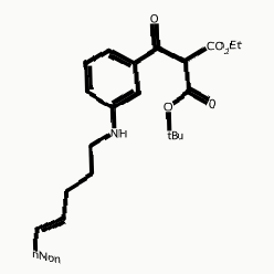 CCCCCCCCCC=CCCCNc1cccc(C(=O)C(C(=O)OCC)C(=O)OC(C)(C)C)c1